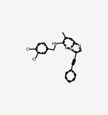 Cc1cc2ncc(C#Cc3ccccc3)n2nc1NCc1ccc(Cl)c(Cl)c1